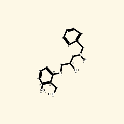 CC(C)N(Cc1ccccc1)CC(O)COc1cccc([N+](=O)[O-])c1CC=O